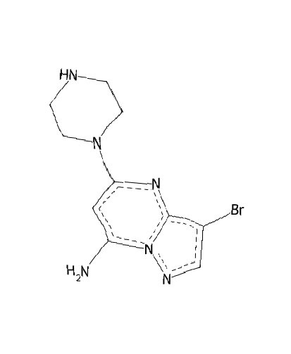 Nc1cc(N2CCNCC2)nc2c(Br)cnn12